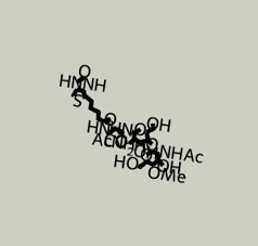 COC1C(CO)OC(OC2C(CO)OC(NC(=O)CC(NC(=O)CCCCC3SCC4NC(=O)NC43)C(=O)O)C(NC(C)=O)C2O)C(NC(C)=O)C1O